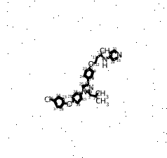 CC(C)Cc1nc(-c2ccc(OCCC(C)Nc3ccncc3)cc2)cn1-c1ccc(Oc2ccc(Cl)cc2)cc1